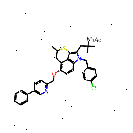 CC(=O)NC(C)(C)Cc1c2c3c(c(OCc4ccc(-c5ccccc5)cn4)ccc3n1Cc1ccc(Cl)cc1)CC(C)S2